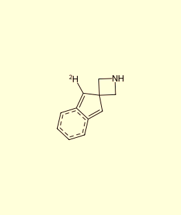 [2H]C1=c2ccccc2=CC12CNC2